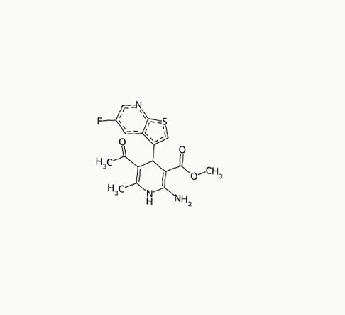 COC(=O)C1=C(N)NC(C)=C(C(C)=O)C1c1csc2ncc(F)cc12